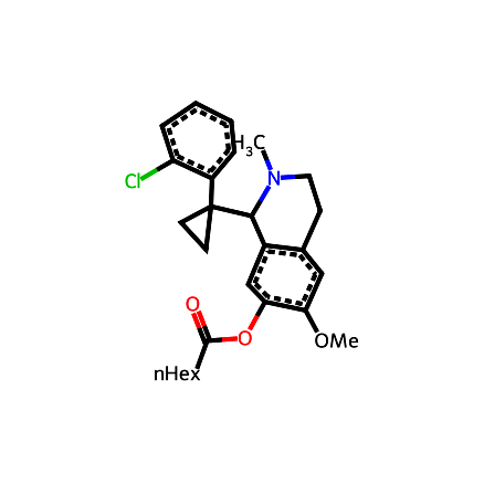 CCCCCCC(=O)Oc1cc2c(cc1OC)CCN(C)C2C1(c2ccccc2Cl)CC1